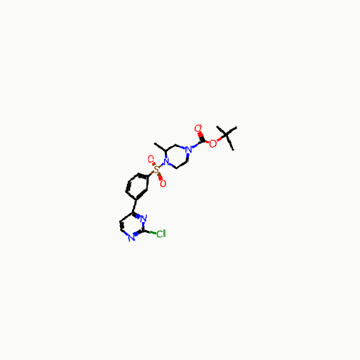 CC1CN(C(=O)OC(C)(C)C)CCN1S(=O)(=O)c1cccc(-c2ccnc(Cl)n2)c1